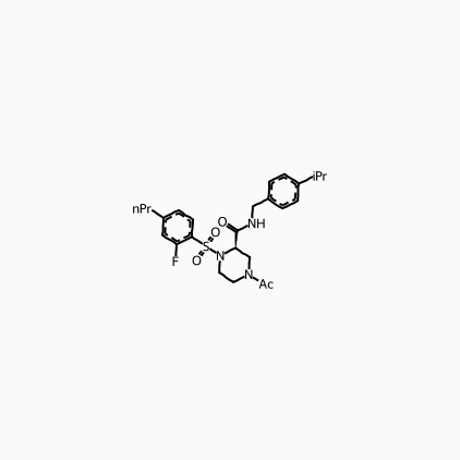 CCCc1ccc(S(=O)(=O)N2CCN(C(C)=O)C[C@@H]2C(=O)NCc2ccc(C(C)C)cc2)c(F)c1